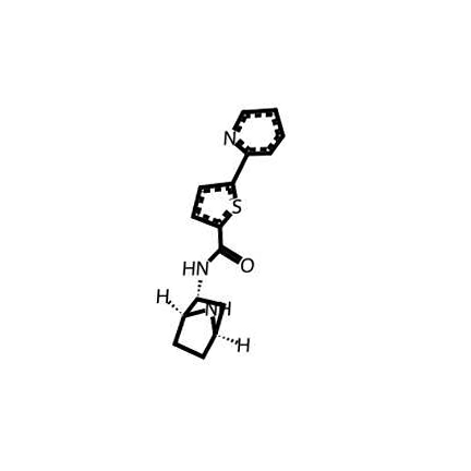 O=C(N[C@@H]1C[C@H]2CC[C@@H]1N2)c1ccc(-c2ccccn2)s1